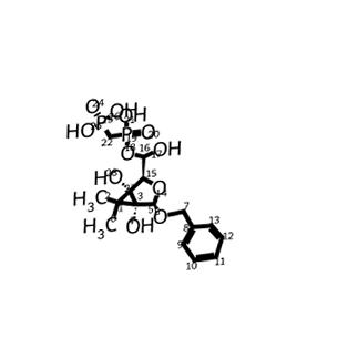 CC1(C)[C@]2(O)[C@H](OCc3ccccc3)O[C@H](C(O)OP(=O)(O)CP(=O)(O)O)[C@]12O